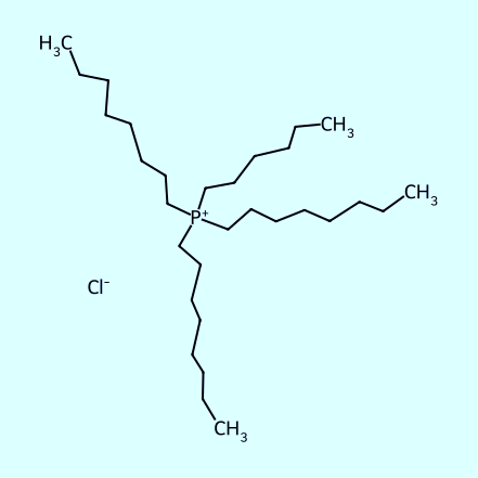 CCCCCCCC[P+](CCCCCC)(CCCCCCCC)CCCCCCCC.[Cl-]